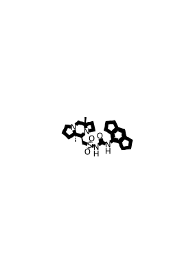 C[C@@]12CCN1[C@@H](CS(=O)(=O)NC(=O)Nc1c3c(cc4c1CCC4)CCC3)[C@@]1(C)CCCN1C2